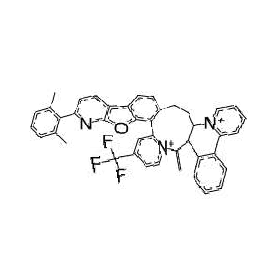 C=C1C2c3ccccc3-c3cccc[n+]3C2CCc2ccc3c(oc4nc(-c5c(C)cccc5C)ccc43)c2-c2cc(C(F)(F)F)cc[n+]21